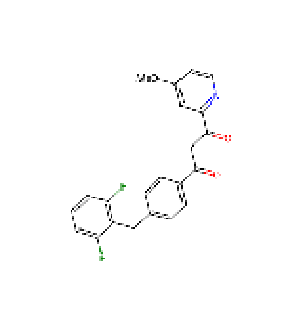 COc1ccnc(C(=O)CC(=O)c2ccc(Cc3c(F)cccc3F)cc2)c1